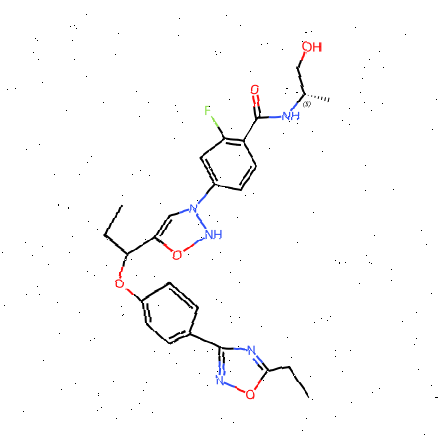 CCc1nc(-c2ccc(OC(CC)C3=CN(c4ccc(C(=O)N[C@@H](C)CO)c(F)c4)NO3)cc2)no1